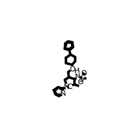 CC1CN(c2ccccn2)CC(COC2CCC(c3ccccc3)CC2)C1NS(C)(=O)=O